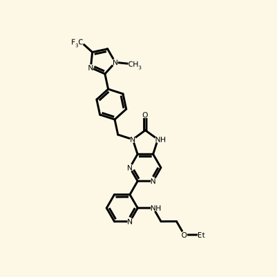 CCOCCNc1ncccc1-c1ncc2[nH]c(=O)n(Cc3ccc(-c4nc(C(F)(F)F)cn4C)cc3)c2n1